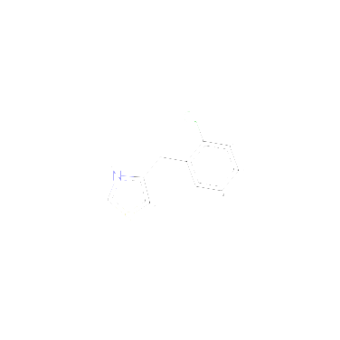 Clc1ccccc1Cc1cscn1